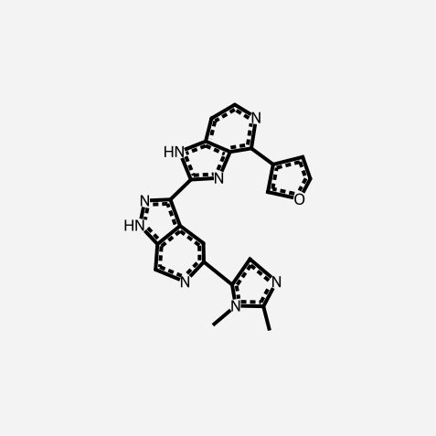 Cc1ncc(-c2cc3c(-c4nc5c(-c6ccoc6)nccc5[nH]4)n[nH]c3cn2)n1C